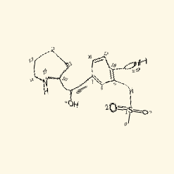 CS(=O)(=O)Cc1cc(C(O)C2CCCCN2)ccc1O